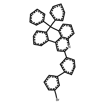 Brc1cccc(-c2cccc(-c3cc4c5c(cccc5n3)C(c3ccccc3)(c3ccccc3)c3ccccc3-4)c2)c1